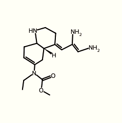 CCN(C(=O)OC)C1=CCC2NCC/C(=C\C(N)=C\N)[C@@H]2C1